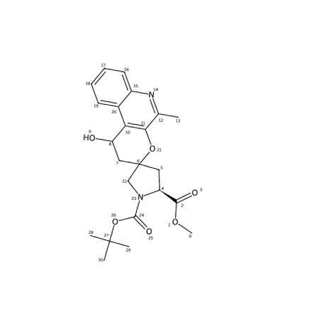 COC(=O)[C@@H]1CC2(CC(O)c3c(c(C)nc4ccccc34)O2)CN1C(=O)OC(C)(C)C